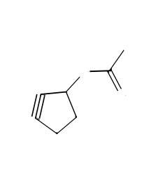 CC(=O)OC1C#CCC1